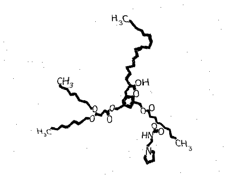 CCCCC/C=C\C/C=C\CCCCCCC(Cc1cc(COC(=O)CCC(CCCCCC)OC(=O)NCCN2CCCC2)cc(COC(=O)CCC(OCCCCCCCC)OCCCCCCCC)c1)C(=O)O